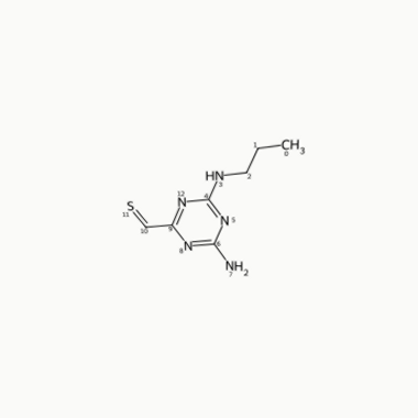 CCCNc1nc(N)nc(C=S)n1